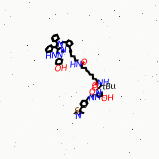 Cc1ncsc1-c1ccc(CNC(=O)[C@@H]2C[C@@H](O)CN2C(=O)[C@@H](NC(=O)CCCCCCCCC(=O)NCCCCC#Cc2cccc(Cn3c(-c4ccccc4)c(-c4ccccc4)c4c(=N)n(C5CCC(O)CC5)cnc43)c2)C(C)(C)C)cc1